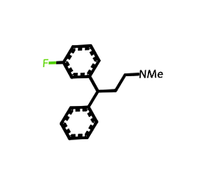 CNCCC(c1ccccc1)c1cccc(F)c1